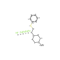 CCCC1CCC(CCSc2ccccc2)CC1.F.F.F.F.F